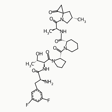 C[C@@H]1CN(C(=O)[C@H](C)NC(=O)[C@@H]2CCCCN2C(=O)[C@@H]2CCCN2C(=O)[C@@H](NC(=O)[C@@H](N)Cc2cc(F)cc(F)c2)[C@H](C)O)C2(CC2=O)C1